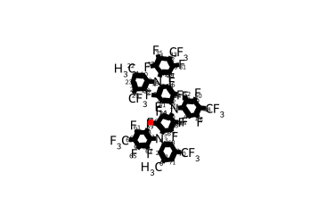 Cc1cc(N(c2c(F)c(F)c(N(c3c(F)c(F)c(N(c4cc(C)cc(C(F)(F)F)c4)c4c(F)c(F)c(C(F)(F)F)c(F)c4F)c(F)c3F)c3c(F)c(F)c(C(F)(F)F)c(F)c3F)c(F)c2F)c2c(F)c(F)c(C(F)(F)F)c(F)c2F)cc(C(F)(F)F)c1